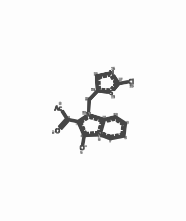 CC(=O)C(=O)c1c([O-])[n+]2ccccc2n1Cc1cnc(Cl)s1